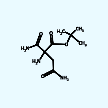 CC(C)(C)OC(=O)C(N)(CC(N)=O)C(N)=O